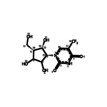 O=c1[nH]c(=O)n([C@@H]2C(O)C(O)[C@H](CO)[C@@H]2O)cc1C(F)(F)F